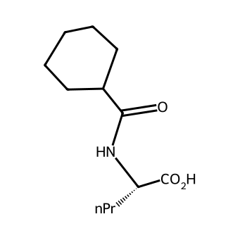 CCC[C@H](NC(=O)C1CCCCC1)C(=O)O